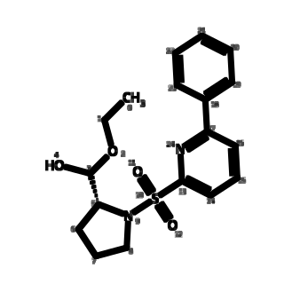 CCOC(O)[C@H]1CCCN1S(=O)(=O)c1cccc(-c2ccccc2)n1